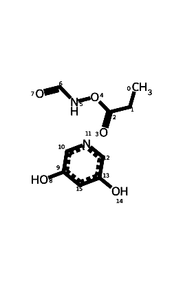 CCC(=O)ONC=O.Oc1cncc(O)c1